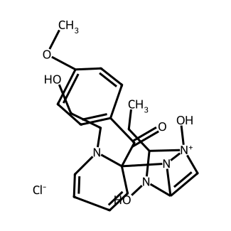 CCC1N(O)C2=C[N+]1(O)N2C1(C(=O)c2ccc(OC)cc2)C=CC=CN1CCO.[Cl-]